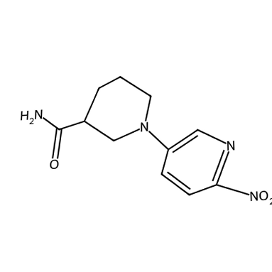 NC(=O)C1CCCN(c2ccc([N+](=O)[O-])nc2)C1